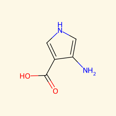 Nc1c[nH]cc1C(=O)O